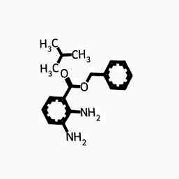 CC(C)C.Nc1cccc(C(=O)OCc2ccccc2)c1N